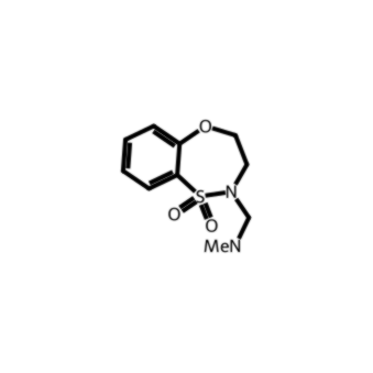 CNCN1CCOc2ccccc2S1(=O)=O